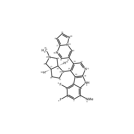 CNc1cc(F)c(F)c2c1[nH]c1ncc(-c3cnc4ccnn4c3)c(N3CC[C@H]4CN(C)C[C@H]43)c12